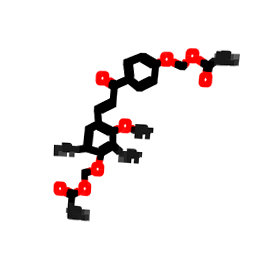 CCCc1cc(C=CC(=O)c2ccc(OCOC(=O)C(C)(C)C)cc2)c(OC(C)C)c(CCC)c1OCOC(=O)C(C)(C)C